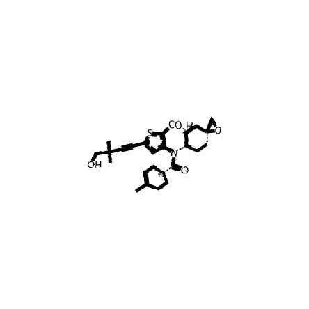 CC1=CC[C@H](C(=O)N(c2cc(C#CC(C)(C)CO)sc2C(=O)O)[C@H]2CC[C@]3(CC2)CO3)CC1